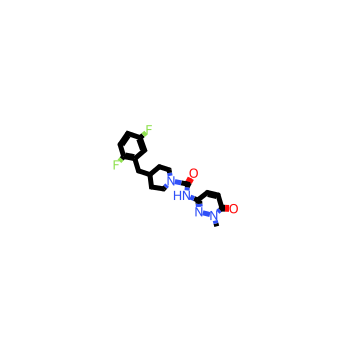 Cn1nc(NC(=O)N2CCC(Cc3cc(F)ccc3F)CC2)ccc1=O